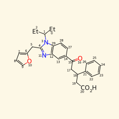 CCC(CC)n1c(Cc2ccco2)nc2cc(C(=O)CC(CC(=O)O)c3ccccc3)ccc21